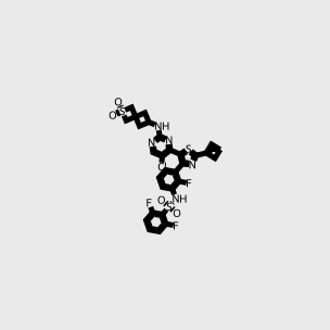 O=S1(=O)CC2(CC(Nc3ncc(Cl)c(-c4sc(C56CC(C5)C6)nc4-c4cccc(NS(=O)(=O)c5c(F)cccc5F)c4F)n3)C2)C1